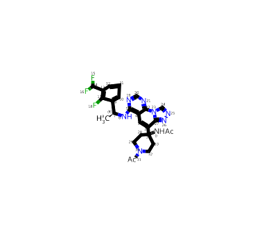 CC(=O)NC1(c2cc3c(N[C@H](C)c4cccc(C(F)F)c4F)ncnc3n3cnnc23)CCN(C(C)=O)CC1